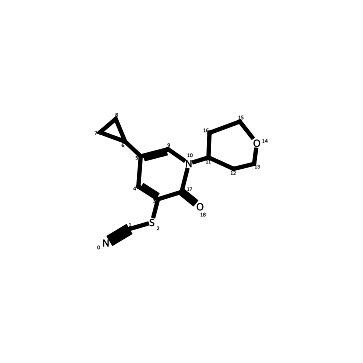 N#CSc1cc(C2CC2)cn(C2CCOCC2)c1=O